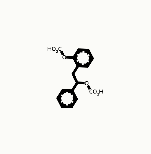 O=C(O)Oc1ccccc1CC(OC(=O)O)c1ccccc1